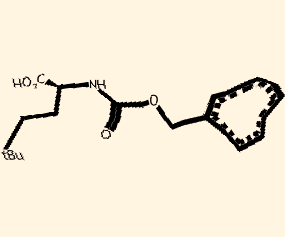 CC(C)(C)CC[C@H](NC(=O)OCc1ccccc1)C(=O)O